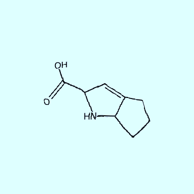 O=C(O)C1C=C2CCCC2N1